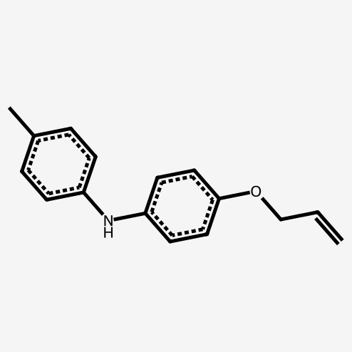 C=CCOc1ccc(Nc2ccc(C)cc2)cc1